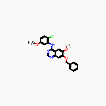 COc1ccc(Cl)c(Nc2ncnc3cc(OCc4ccccc4)c(OC)cc23)c1